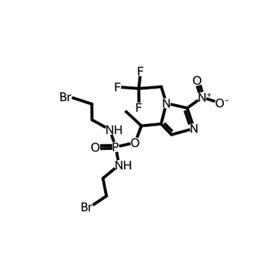 CC(OP(=O)(NCCBr)NCCBr)c1cnc([N+](=O)[O-])n1CC(F)(F)F